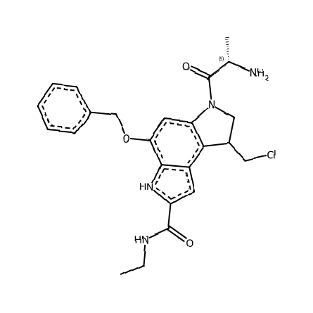 CCNC(=O)c1cc2c3c(cc(OCc4ccccc4)c2[nH]1)N(C(=O)[C@H](C)N)CC3CCl